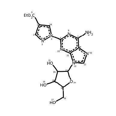 CCOC(=O)c1cnn(-c2nc(N)c3ncn(C4OC(CO)C(O)C4O)c3n2)c1